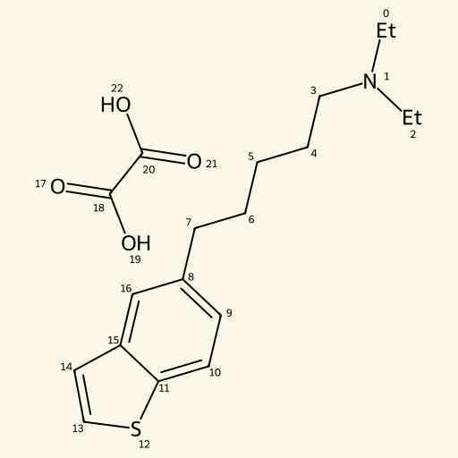 CCN(CC)CCCCCc1ccc2sccc2c1.O=C(O)C(=O)O